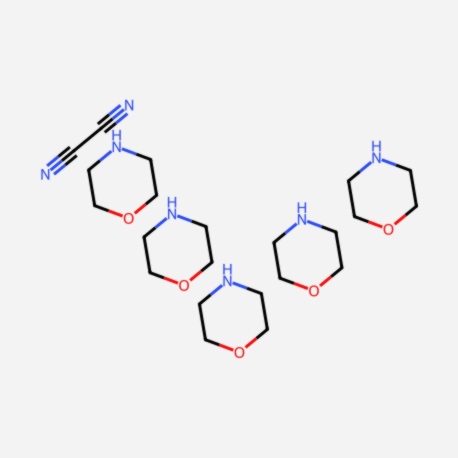 C1COCCN1.C1COCCN1.C1COCCN1.C1COCCN1.C1COCCN1.N#CC#N